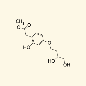 COC(=O)Cc1ccc(OCCC(O)CO)cc1O